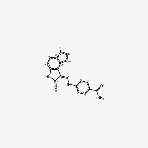 NC(=O)c1ccc(NC=C2C(=O)Nc3ccc4ncsc4c32)cc1